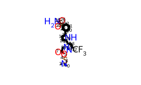 CN(C)SCOC(=O)Cn1nc(C(F)(F)F)cc1-c1ccc(-c2cccc(S(N)(=O)=O)c2)[nH]1